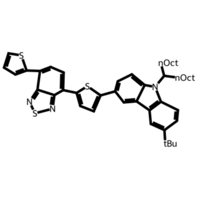 CCCCCCCCC(CCCCCCCC)n1c2ccc(-c3ccc(-c4ccc(-c5cccs5)c5nsnc45)s3)cc2c2cc(C(C)(C)C)ccc21